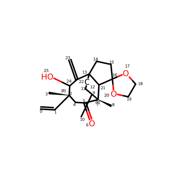 C=C[C@@]1(C)CC(=O)[C@]2(C)C(C)CCC3(CCC4(OCCO4)C32)C(=C)C1O